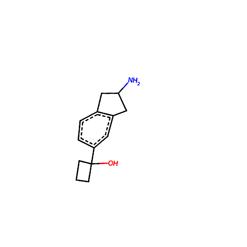 NC1Cc2ccc(C3(O)CCC3)cc2C1